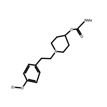 CCOc1ccc(CCN2CCC(OC(=O)NC)CC2)cc1